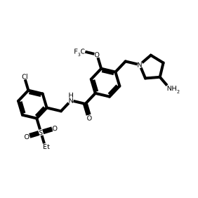 CCS(=O)(=O)c1ccc(Cl)cc1CNC(=O)c1ccc(CN2CCC(N)C2)c(OC(F)(F)F)c1